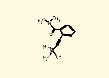 CN(C)C(=O)c1ccccc1C#C[Si](C)(C)C